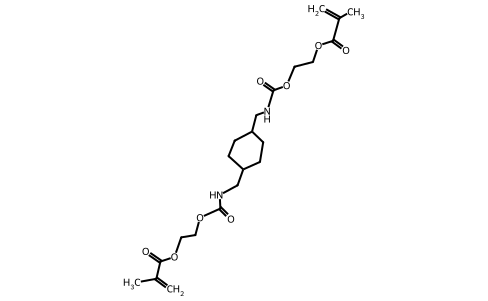 C=C(C)C(=O)OCCOC(=O)NCC1CCC(CNC(=O)OCCOC(=O)C(=C)C)CC1